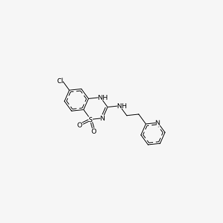 O=S1(=O)N=C(NCCc2ccccn2)Nc2cc(Cl)ccc21